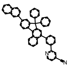 N#Cc1ccnc(-c2cccc(-c3cc4c(c5ccccc35)-c3ccc(-c5ccc6ccccc6c5)cc3C4(c3ccccc3)c3ccccc3)c2)c1